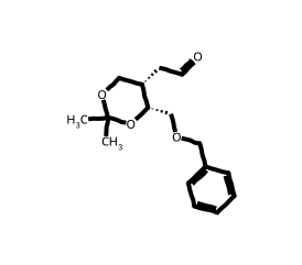 CC1(C)OC[C@H](CC=O)[C@H](COCc2ccccc2)O1